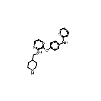 c1ccc(Nc2ccc(Oc3nccnc3NCC3CCNCC3)cc2)nc1